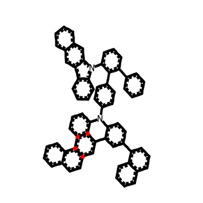 c1ccc(-c2cc(-c3cccc4ccccc34)ccc2N(c2ccc(-c3c(-c4ccccc4)cccc3-n3c4ccccc4c4cc5ccccc5cc43)cc2)c2cccc(-c3cccc4ccccc34)c2)cc1